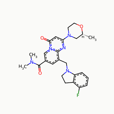 C[C@@H]1CN(c2cc(=O)n3cc(C(=O)N(C)C)cc(CN4CCc5c(F)cccc54)c3n2)CCO1